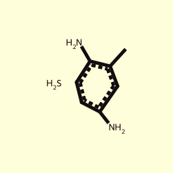 Cc1cc(N)ccc1N.S